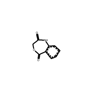 O=C1COC(=O)c2ccccc2N1